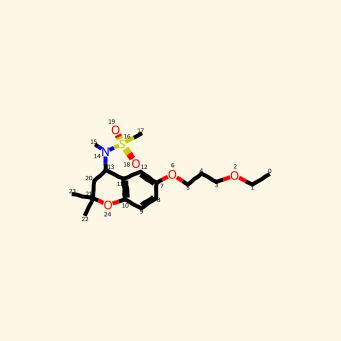 CCOCCCOc1ccc2c(c1)C(N(C)S(C)(=O)=O)CC(C)(C)O2